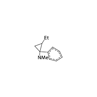 CCC1CC1(NC)c1ccccc1